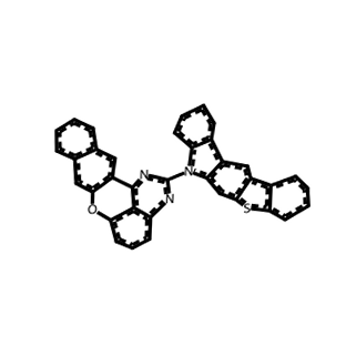 c1ccc2cc3c(cc2c1)Oc1cccc2nc(-n4c5ccccc5c5cc6c(cc54)sc4ccccc46)nc-3c12